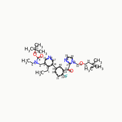 CCc1c(CN(CC)C(=O)OC(C)(C)C)cncc1-c1ccc(F)c(C(=O)c2nccn2COCC[Si](C)(C)C)c1